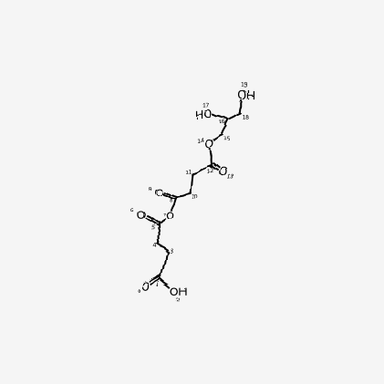 O=C(O)CCC(=O)OC(=O)CCC(=O)OCC(O)CO